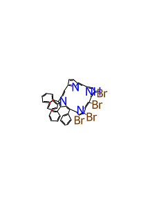 BrC1=C(Br)c2nc1c(Br)c1[nH]c(cc3nc(cc4c(-c5ccccc5)c(-c5ccccc5)c(c2-c2ccccc2)n4-c2ccccc2)C=C3)cc1Br